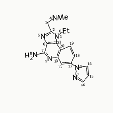 CCn1c(CNC)nc2c(N)nc3cc(-n4cccn4)ccc3c21